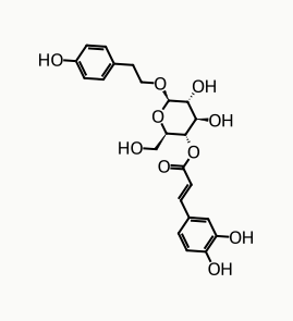 O=C(/C=C/c1ccc(O)c(O)c1)O[C@H]1[C@H](O)[C@@H](O)[C@H](OCCc2ccc(O)cc2)O[C@@H]1CO